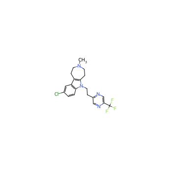 CN1CCc2c(n(CCc3cnc(C(F)(F)F)cn3)c3ccc(Cl)cc23)CC1